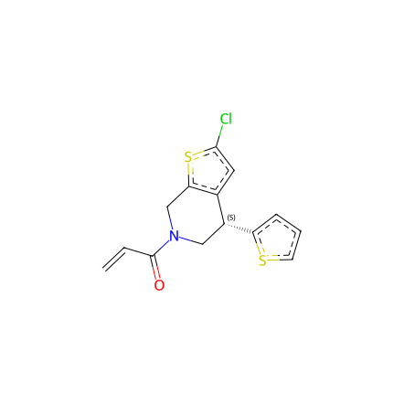 C=CC(=O)N1Cc2sc(Cl)cc2[C@H](c2cccs2)C1